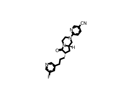 N#Cc1ccc(N2CCN3C(=O)[C@@H](CCCc4cncc(F)c4)C[C@H]3C2)nc1